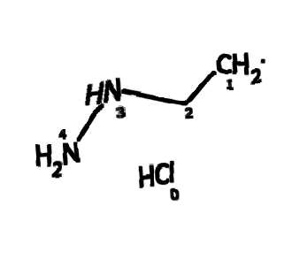 Cl.[CH2]CNN